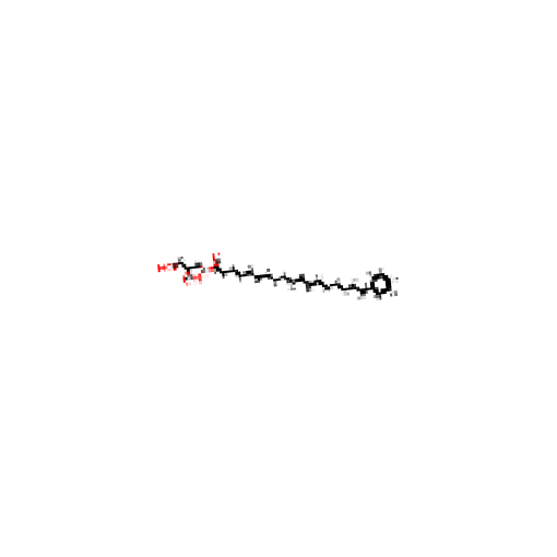 O=C(CCCCCCCCCCCCCCCCCc1ccccc1)OCC(O)CO